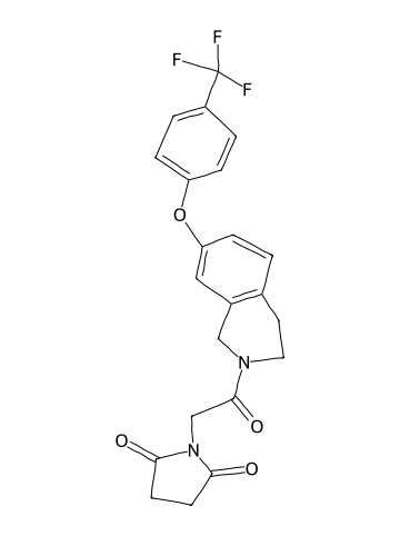 O=C(CN1C(=O)CCC1=O)N1CCc2ccc(Oc3ccc(C(F)(F)F)cc3)cc2C1